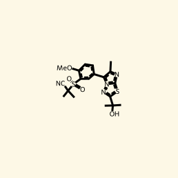 COc1ccc(-c2c(C)nc3sc(C(C)(C)O)nn23)cc1S(=O)(=O)C(C)(C)C#N